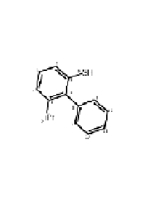 CC(C)c1cccc(S)c1-c1ccccc1